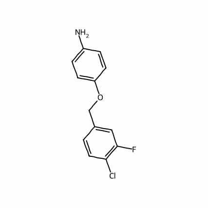 Nc1ccc(OCc2ccc(Cl)c(F)c2)cc1